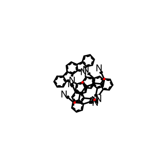 N#Cc1cccc(C#N)c1-c1cc(-c2c(C#N)cccc2C#N)cc(-n2c3ccccc3c3ccc4c5ccccc5n(-c5cc(-c6c(C#N)cccc6C#N)cc(-c6c(C#N)cccc6C#N)c5)c4c32)c1